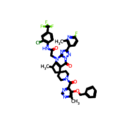 Cc1nc(F)ccc1-c1nc2n(CC(=O)Nc3ccc(C(F)(F)F)cc3Cl)c3c(c(=O)n2n1)C1(CCN(C(=O)c2ncnc(C)c2OCc2ccccc2)CC1)CC3C